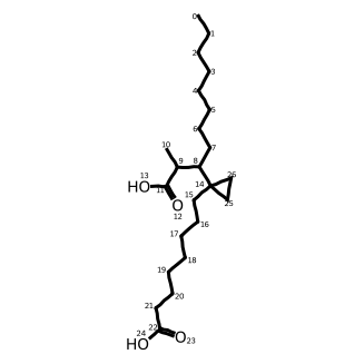 CCCCCCCCC(C(C)C(=O)O)C1(CCCCCCCC(=O)O)CC1